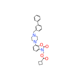 O=C(OCn1c(=O)oc2c(N3CCN(Cc4cccc(-c5ccccc5)c4)CC3)cccc21)C1CCC1